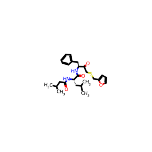 CC(C)CC(=O)N[C@@H](CC(C)C)C(=O)N[C@@H](Cc1ccccc1)C(=O)CSCc1ccco1